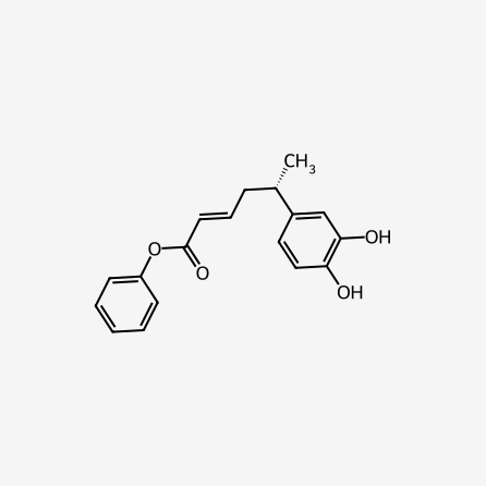 C[C@@H](C/C=C/C(=O)Oc1ccccc1)c1ccc(O)c(O)c1